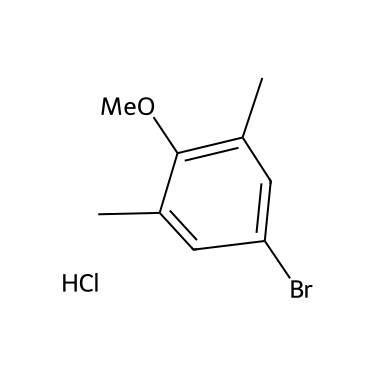 COc1c(C)cc(Br)cc1C.Cl